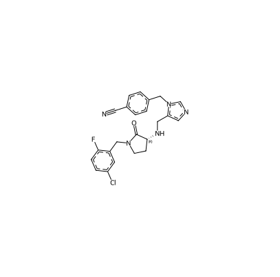 N#Cc1ccc(Cn2cncc2CN[C@@H]2CCN(Cc3cc(Cl)ccc3F)C2=O)cc1